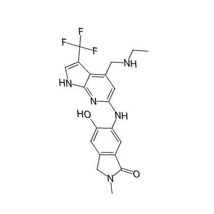 CCNCc1cc(Nc2cc3c(cc2O)CN(C)C3=O)nc2[nH]cc(C(F)(F)F)c12